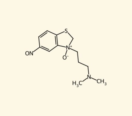 CN(C)CCC[N+]1([O-])CSc2ccc(N=O)cc21